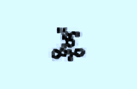 Cc1nc2c(O[C@@H]3c4ccccc4C[C@H]3OC(=O)c3ccccc3)cccn2c1C=O